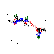 COC[C@H](c1cnn2cc([C@@H](NC(=O)c3nonc3C)C3CCC(F)(F)CC3)nc2c1)N1C[C@@H](C(F)(F)F)N(CCOCCOCCOCCOC[C@H]2OC[C@H](Nc3cncc(C(F)(F)F)n3)[C@H]3OC(C)(C)O[C@H]32)C1=O